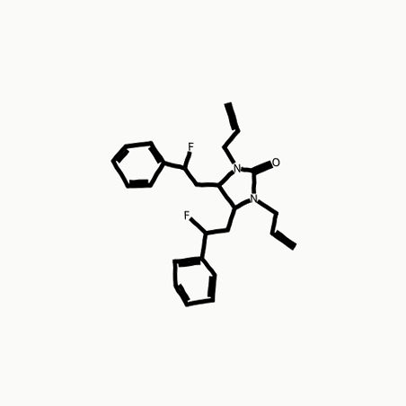 C=CCN1C(=O)N(CC=C)C(CC(F)c2ccccc2)C1CC(F)c1ccccc1